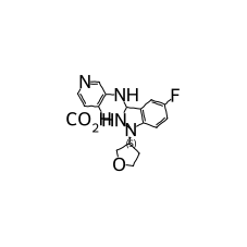 O=C(O)c1ccncc1NC1NN([C@H]2CCOC2)c2ccc(F)cc21